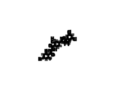 Cc1cc(C2=NOC(c3cc(Cl)cc(Cl)c3)(C(F)(F)F)C2)ccc1C(=O)NNC(=O)c1c(F)cc(Br)cc1F